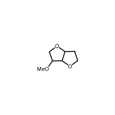 COC1COC2[CH]COC21